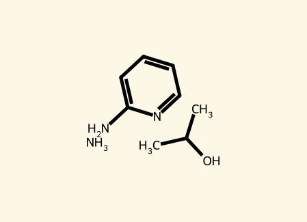 CC(C)O.N.Nc1ccccn1